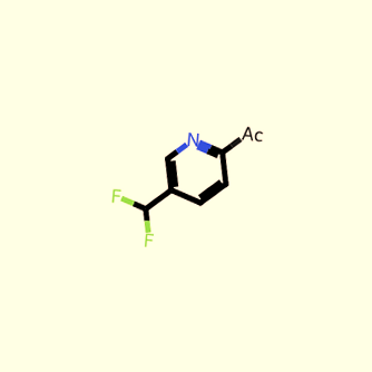 CC(=O)c1ccc(C(F)F)cn1